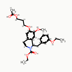 CCOC(=O)N1C=Cc2cc(OCCCOC(C)=O)c(OC)cc2C1Cc1cccc(OCC)c1